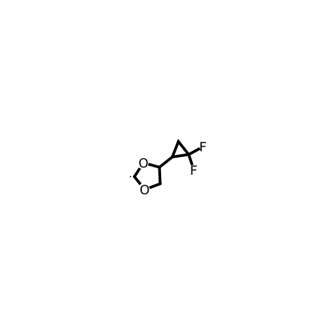 FC1(F)CC1C1CO[CH]O1